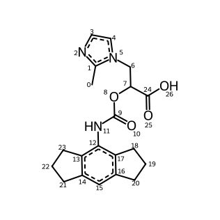 Cc1nccn1CC(OC(=O)Nc1c2c(cc3c1CCC3)CCC2)C(=O)O